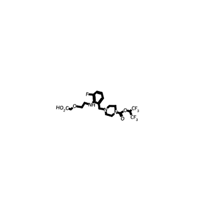 O=C(O)COCCNc1c(F)cccc1CN1CCN(C(=O)OC(C(F)(F)F)C(F)(F)F)CC1